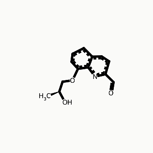 C[C@H](O)COc1cccc2ccc(C=O)nc12